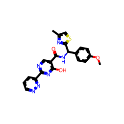 COc1ccc([C@@H](NC(=O)c2cnc(-c3cccnn3)nc2O)c2nc(C)cs2)cc1